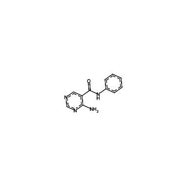 Nc1ncncc1C(=O)Nc1ccccc1